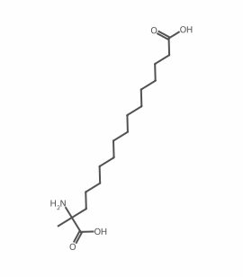 CC(N)(CCCCCCCCCCCCCC(=O)O)C(=O)O